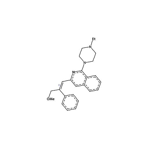 CCN1CCN(c2nc(/C=C(/COC)c3ccccc3)cc3ccccc23)CC1